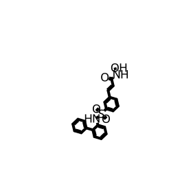 O=C(/C=C/c1cccc(S(=O)(=O)Nc2ccccc2-c2ccccc2)c1)NO